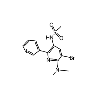 CN(C)c1nc(-c2cccnc2)c(NS(C)(=O)=O)cc1Br